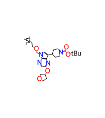 CC(C)(C)OC(=O)N1CCC(c2cn(COCC[Si](C)(C)C)c3ncc(O[C@@H]4CCOC4)nc23)CC1